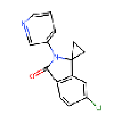 O=C1c2ccc(Cl)cc2C2(CC2)N1c1cccnc1